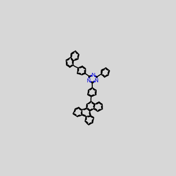 c1ccc(-c2nc(-c3ccc(-c4cccc5ccccc45)cc3)nc(-c3ccc(-c4cc5c6ccccc6c6ccccc6c5c5ccccc45)cc3)n2)cc1